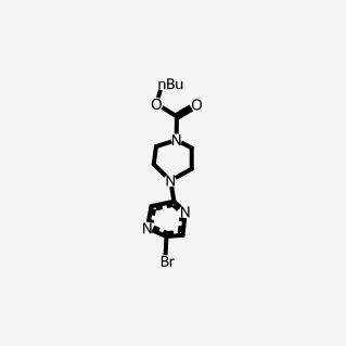 CCCCOC(=O)N1CCN(c2cnc(Br)cn2)CC1